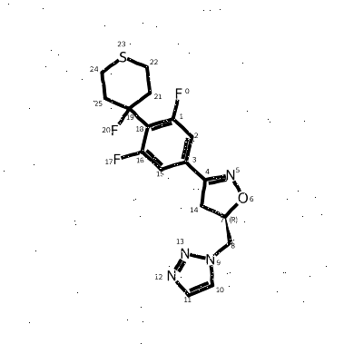 Fc1cc(C2=NO[C@@H](Cn3ccnn3)C2)cc(F)c1C1(F)CCSCC1